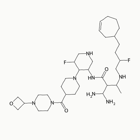 CC(NCC(F)CCC1CC=CCCC1)C(C(=O)NC1CNCC(F)C1N1CCC(C(=O)N2CCN(C3COC3)CC2)CC1)C(N)N